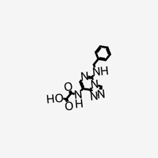 O=C(O)C(=O)Nc1cnc(NCc2ccccc2)n2cnnc12